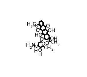 COc1cccc2c1C(=O)c1c(O)c3c(c(O)c1C2=O)C[C@@](O)(C(C)=O)C[C@@H]3OC1CC(NN)C(O)C(C)O1